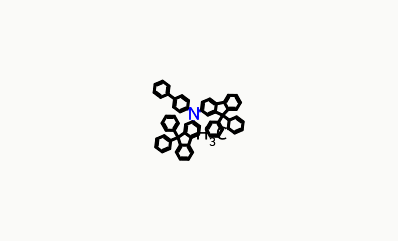 CC1C=CC=CC1C1(c2ccccc2)c2ccccc2-c2ccc(N(c3ccc(-c4ccccc4)cc3)c3ccc4c(c3)C(c3ccccc3)(c3ccccc3)c3ccccc3-4)cc21